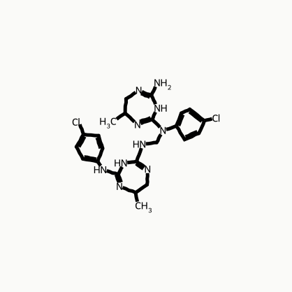 CC1CN=C(NCN(C2=NC(C)CN=C(N)N2)c2ccc(Cl)cc2)NC(Nc2ccc(Cl)cc2)=N1